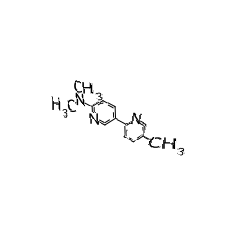 Cc1ccc(-c2ccc(N(C)C)nc2)nc1